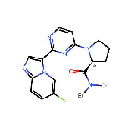 CCN(CC)C(=O)[C@@H]1CCCN1c1ccnc(-c2cnc3ccc(F)cn23)n1